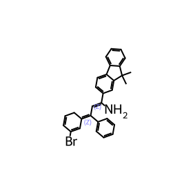 CC1(C)c2ccccc2-c2ccc(/C(N)=C/C(=C3/C=C(Br)C=CC3)c3ccccc3)cc21